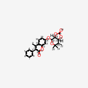 Cc1c(-c2ccccc2)c(=O)oc2cc(OC3OC(C)(C)[C@H](C)[C@@H]4OC(=O)O[C@H]34)ccc12